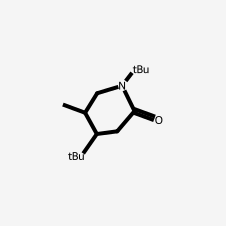 CC1CN(C(C)(C)C)C(=O)CC1C(C)(C)C